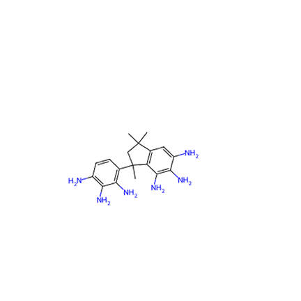 CC1(C)CC(C)(c2ccc(N)c(N)c2N)c2c1cc(N)c(N)c2N